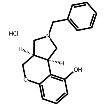 Cl.Oc1cccc2c1[C@@H]1CN(Cc3ccccc3)C[C@@H]1CO2